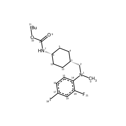 CN(C[C@H]1CC[C@@H](NC(=O)OC(C)(C)C)CC1)c1ccc(I)cc1F